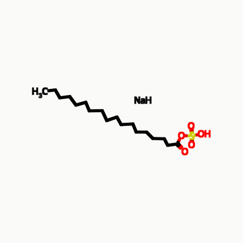 CCCCCCCCCCCCCCCCCC(=O)OS(=O)(=O)O.[NaH]